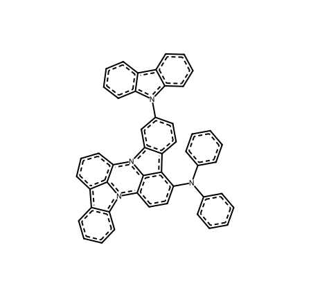 c1ccc(N(c2ccccc2)c2ccc3c4c2c2ccc(-n5c6ccccc6c6ccccc65)cc2n4c2cccc4c5ccccc5n3c42)cc1